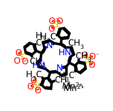 Cc1ccc(S(=O)(=O)[O-])c(C)c1-c1c2nc(c(-c3c(C)ccc(S(=O)(=O)[O-])c3C)c3ccc([nH]3)c(-c3c(C)ccc(S(=O)(=O)[O-])c3C)c3nc(c(-c4c(C)ccc(S(=O)(=O)[O-])c4C)c4ccc1[nH]4)C=C3)C=C2.[Mn+2].[Mn+2]